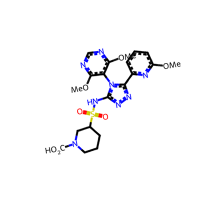 COc1cccc(-c2nnc(NS(=O)(=O)C3CCCN(C(=O)O)C3)n2-c2c(OC)ncnc2OC)n1